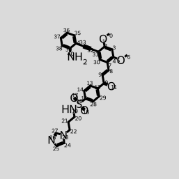 COc1cc(OC)c(C=CC(=O)c2ccc(S(=O)(=O)NCCCn3ccnc3)cc2)cc1C#Cc1ccccc1N